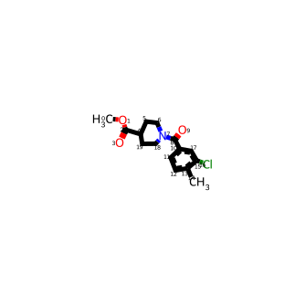 COC(=O)C1CCN(C(=O)c2ccc(C)c(Cl)c2)CC1